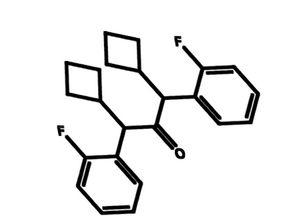 O=C(C(c1ccccc1F)C1CCC1)C(c1ccccc1F)C1CCC1